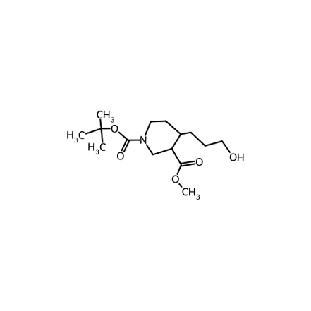 COC(=O)C1CN(C(=O)OC(C)(C)C)CCC1CCCO